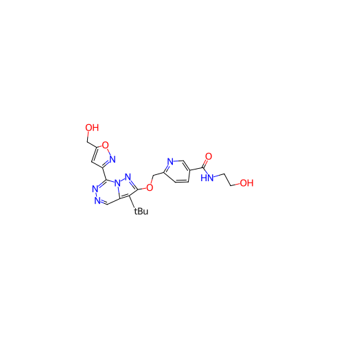 CC(C)(C)c1c(OCc2ccc(C(=O)NCCO)cn2)nn2c(-c3cc(CO)on3)nncc12